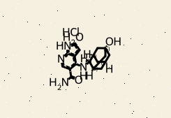 Cl.NC(=O)c1cnc2[nH]ccc2c1N[C@@H]1[C@@H]2C[C@@H]3C[C@H]1C[C@@](O)(C3)C2.O